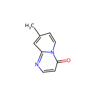 Cc1ccn2c(=O)ccnc2c1